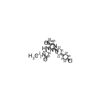 CCCN1C[C@@H](Nc2nc(N3CCC(c4ccc(Cl)cc4)CC3)nc3c2[S+]([O-])CC3)CCC1=O